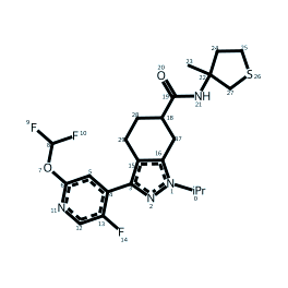 CC(C)n1nc(-c2cc(OC(F)F)ncc2F)c2c1CC(C(=O)NC1(C)CCSC1)CC2